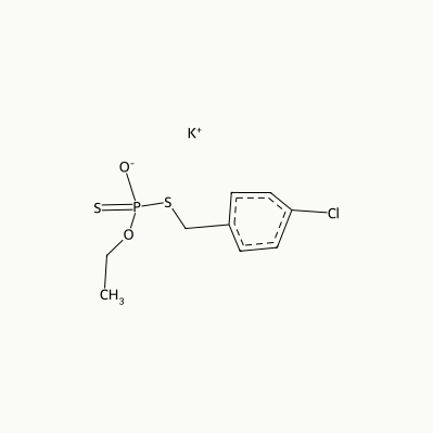 CCOP([O-])(=S)SCc1ccc(Cl)cc1.[K+]